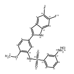 COc1ccc(-c2cc3cc(F)c(F)cc3[nH]2)cc1NS(=O)(=O)c1cccc(N)c1.Cl